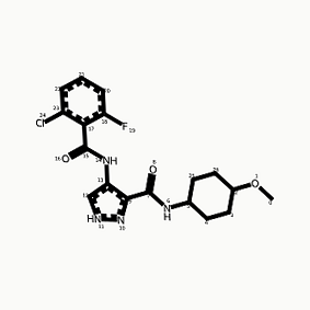 COC1CCC(NC(=O)c2n[nH]cc2NC(=O)c2c(F)cccc2Cl)CC1